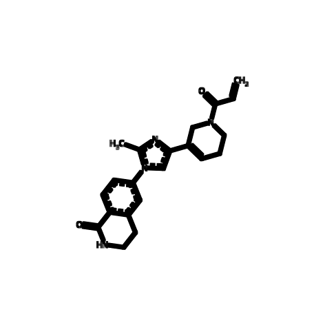 C=CC(=O)N1CCC=C(c2cn(-c3ccc4c(c3)CCNC4=O)c(C)n2)C1